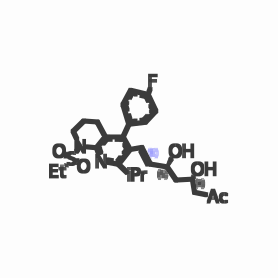 CCS(=O)(=O)N1CCCc2c1nc(C(C)C)c(/C=C/[C@@H](O)C[C@@H](O)CC(C)=O)c2-c1ccc(F)cc1